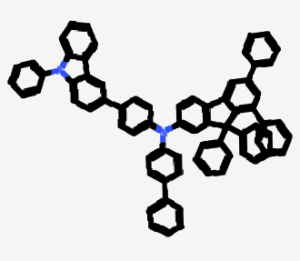 c1ccc(-c2ccc(N(c3ccc(-c4ccc5c(c4)c4ccccc4n5-c4ccccc4)cc3)c3ccc4c(c3)C(c3ccccc3)(c3ccccc3)c3c(-c5ccccc5)cc(-c5ccccc5)cc3-4)cc2)cc1